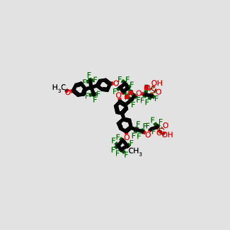 COc1ccc(C(c2ccc(OC3(F)C(F)(F)C(F)(F)C3(F)Oc3ccc(-c4ccc(OC5(F)C(C)(F)C(F)(F)C5(F)F)c(C(F)(F)C(F)(F)OC(F)(F)C(F)(F)S(=O)(=O)O)c4)cc3C(F)(F)C(F)(F)OC(F)(F)C(F)(F)S(=O)(=O)O)cc2)(C(F)(F)F)C(F)(F)F)cc1